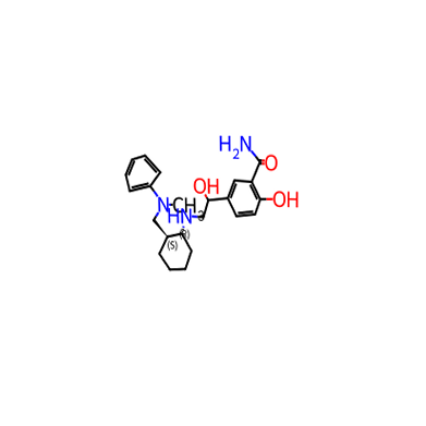 CN(C[C@@H]1CCCC[C@H]1NCC(O)c1ccc(O)c(C(N)=O)c1)c1ccccc1